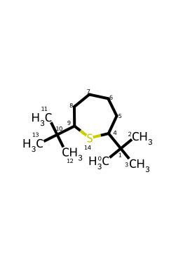 CC(C)(C)C1CCCCC(C(C)(C)C)S1